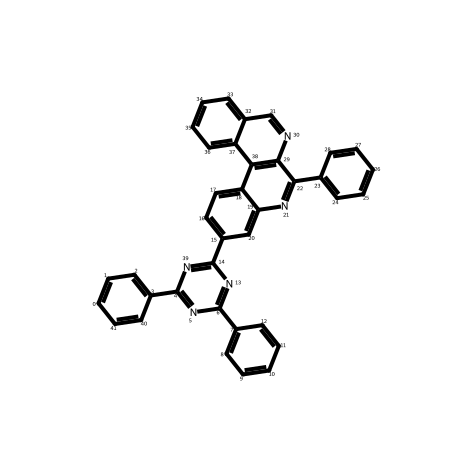 c1ccc(-c2nc(-c3ccccc3)nc(-c3ccc4c(c3)nc(-c3ccccc3)c3ncc5ccccc5c34)n2)cc1